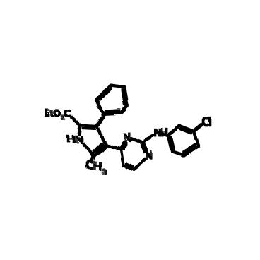 CCOC(=O)c1[nH]c(C)c(-c2ccnc(Nc3cccc(Cl)c3)n2)c1-c1ccccc1